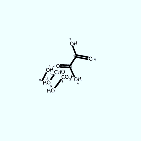 CO.O=C(O)C(=O)O.O=C(O)O.O=CO